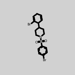 O=S(=O)(c1ccc(Br)cc1)N1CCC(C2C=CCC=C2Br)CC1